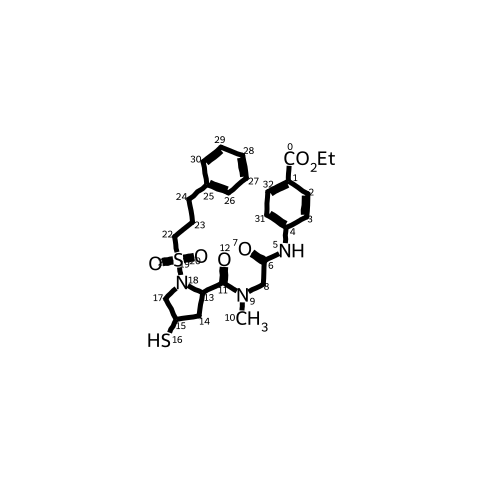 CCOC(=O)c1ccc(NC(=O)CN(C)C(=O)C2CC(S)CN2S(=O)(=O)CCCc2ccccc2)cc1